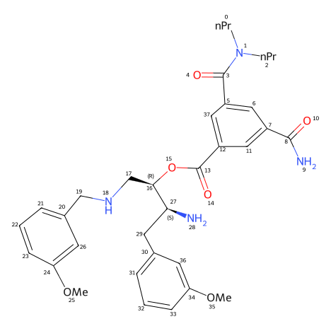 CCCN(CCC)C(=O)c1cc(C(N)=O)cc(C(=O)O[C@H](CNCc2cccc(OC)c2)[C@@H](N)Cc2cccc(OC)c2)c1